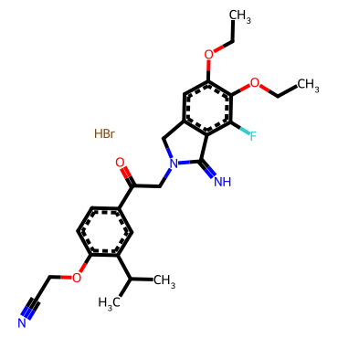 Br.CCOc1cc2c(c(F)c1OCC)C(=N)N(CC(=O)c1ccc(OCC#N)c(C(C)C)c1)C2